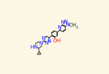 Cn1nnc2nc(-c3ccc(-c4cnc(N5CCNC(C6CC6)C5)nn4)c(O)c3)ccc21